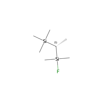 C[C@@H]([Si](C)(C)C)[Si](C)(C)F